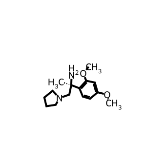 COc1ccc([C@](C)(N)CN2CCCC2)c(OC)c1